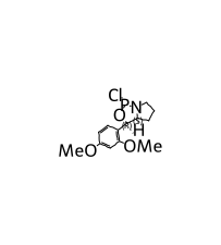 COc1ccc([C@@]2(C)OP(Cl)N3CCC[C@H]32)c(OC)c1